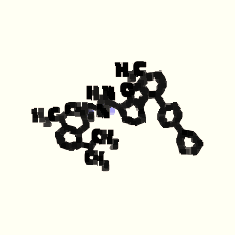 Cc1ccc(-c2ccc(-c3ccccc3)cc2)c2c1oc1c(/C(N)=N/C=C\Cc3c(C(C)C)cccc3C(C)C)cccc12